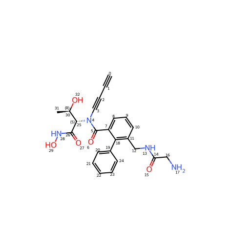 C#CC#CN(C(=O)c1cccc(CNC(=O)CN)c1-c1ccccc1)[C@H](C(=O)NO)[C@@H](C)O